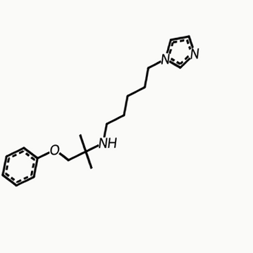 CC(C)(COc1ccccc1)NCCCCCn1ccnc1